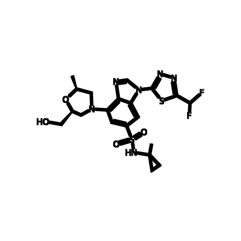 C[C@H]1CN(c2cc(S(=O)(=O)NC3(C)CC3)cc3c2ncn3-c2nnc(C(F)F)s2)C[C@@H](CO)O1